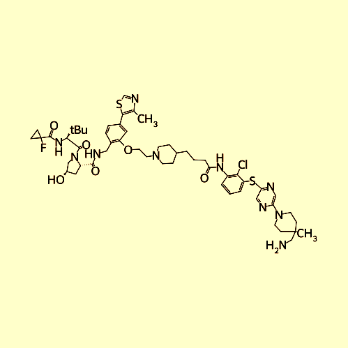 Cc1ncsc1-c1ccc(CNC(=O)[C@@H]2C[C@@H](O)CN2C(=O)[C@@H](NC(=O)C2(F)CC2)C(C)(C)C)c(OCCN2CCC(CCCC(=O)Nc3cccc(Sc4cnc(N5CCC(C)(CN)CC5)cn4)c3Cl)CC2)c1